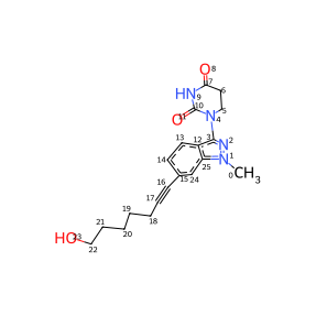 Cn1nc(N2CCC(=O)NC2=O)c2ccc(C#CCCCCCO)cc21